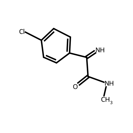 CNC(=O)C(=N)c1ccc(Cl)cc1